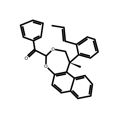 CC=Cc1ccccc1[C@@]1(C)COC(C(=O)c2ccccc2)Oc2ccc3ccccc3c21